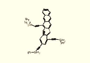 CC(C)[SiH2]C#Cc1cc(C#C[SiH2]C(C)C)c2cc3cc4cc5ccccc5cc4c(C#C[SiH2]C(C)C)c3cc2c1